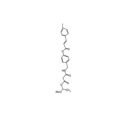 COC(C)OC(=O)CC(=O)NCc1ccc(OC(=O)/C=C/c2ccc(I)cc2)cc1